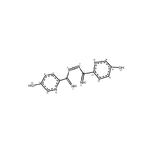 N=C(/N=N\C(=N)c1ccc(O)cn1)c1ccc(O)cn1